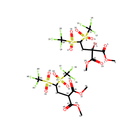 COC(=O)C(Br)(CC(S(=O)(=O)C(F)(F)F)S(=O)(=O)C(F)(F)F)C(=O)OC.COC(=O)C(CC(S(=O)(=O)C(F)(F)F)S(=O)(=O)C(F)(F)F)C(=O)OC